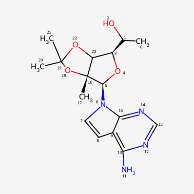 CC(O)[C@H]1O[C@@H](n2ccc3c(N)ncnc32)[C@]2(C)OC(C)(C)OC12